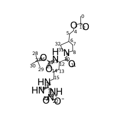 CC(=O)OCCC1CCN(C(=O)C(CCCNC(=N)N[N+](=O)[O-])NC(=O)OC(C)(C)C)CC1